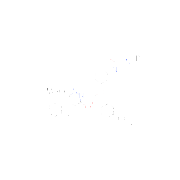 COc1nn(C(Cc2ccc(N3CCN(C(C)C)CC3=O)cc2)C(=O)Oc2ccc(C(=O)O)cc2)c(=O)cc1-c1cc(Cl)ccc1C(C)=O